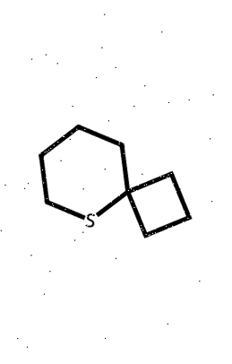 C1CCC2(CCC2)SC1